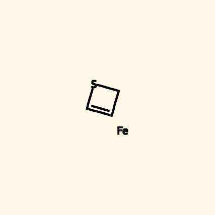 C1=CSC1.[Fe]